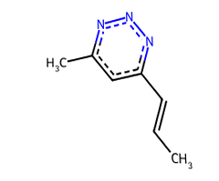 CC=Cc1cc(C)nnn1